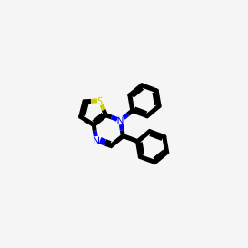 C1=Nc2ccsc2N(c2ccccc2)C1c1ccccc1